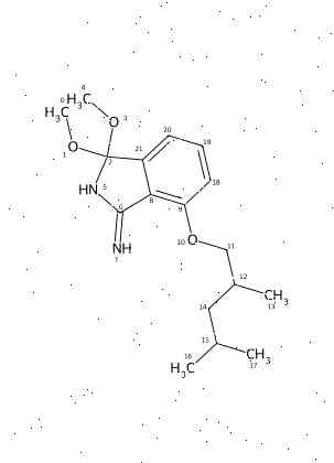 COC1(OC)NC(=N)c2c(OCC(C)CC(C)C)cccc21